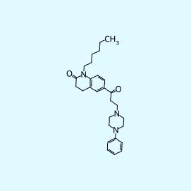 CCCCCCN1C(=O)CCc2cc(C(=O)CCN3CCN(c4ccccc4)CC3)ccc21